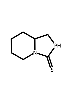 S=C1PCC2CCCCN12